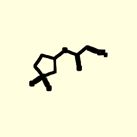 C=CC(=O)OC1CCS(=O)(=O)C1